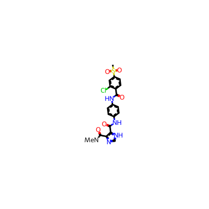 CNC(=O)c1nc[nH]c1C(=O)Nc1ccc(NC(=O)c2ccc(S(C)(=O)=O)cc2Cl)cc1